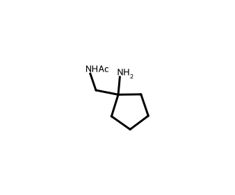 CC(=O)NCC1(N)CCCC1